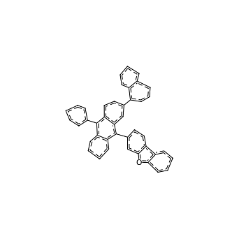 c1ccc(-c2c3ccccc3c(-c3ccc4c(c3)oc3ccccc34)c3cc(-c4cccc5ccccc45)ccc23)cc1